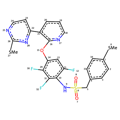 CSc1ccc(CS(=O)(=O)Nc2c(F)cc(Oc3ncccc3-c3ccnc(SC)n3)c(F)c2F)cc1